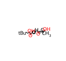 CC(C)(C)CCC(O)C(=O)c1ccc(CC(=O)CCC(C)(C)CO)cc1